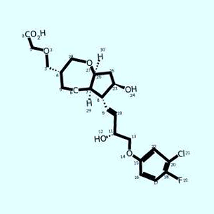 O=C(O)COC[C@H]1CC[C@@H]2[C@@H](C=C[C@@H](O)COc3ccc(F)c(Cl)c3)[C@H](O)C[C@@H]2OC1